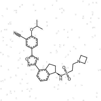 CC(C)Oc1ccc(-c2nc(-c3cccc4c3CC[C@H]4NS(=O)(=O)CCN3CCC3)no2)cc1C#N